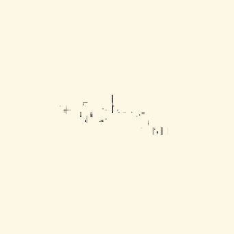 N#Cc1nc2ccc(NCCc3ccc(N)cc3)cc2s1